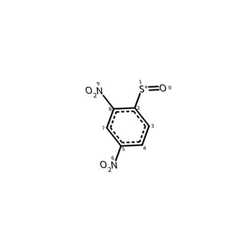 O=[S+]c1ccc([N+](=O)[O-])cc1[N+](=O)[O-]